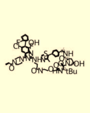 C=CC(=O)N1CCN(c2nc(NCCC(=O)N(C)CCOCC(=O)N[C@H](C(=O)N3C[C@H](O)C[C@H]3C(=O)N[C@@H](C)c3ccc(-c4scnc4C)cc3)C(C)(C)C)nc3c(F)c(-c4c(O)cccc4F)c(Cl)cc23)CC1